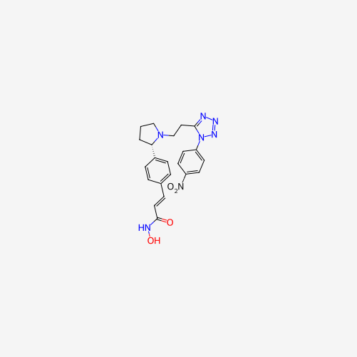 O=C(/C=C/c1ccc([C@@H]2CCCN2CCc2nnnn2-c2ccc([N+](=O)[O-])cc2)cc1)NO